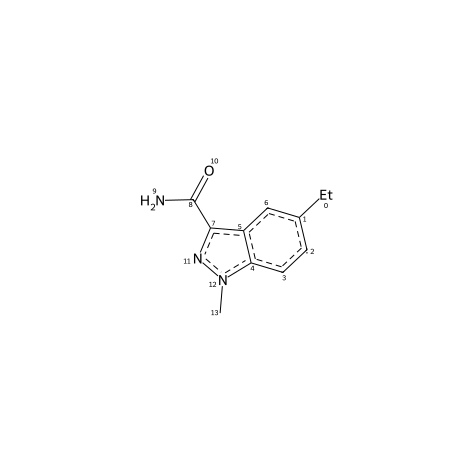 CCc1[c]cc2c(c1)c(C(N)=O)nn2C